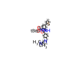 CN(C)[C@@H]1CCN(Cc2ccc(C(=O)Nc3cc(-c4cccs4)ccc3NC(=O)OC(C)(C)C)cc2)C1